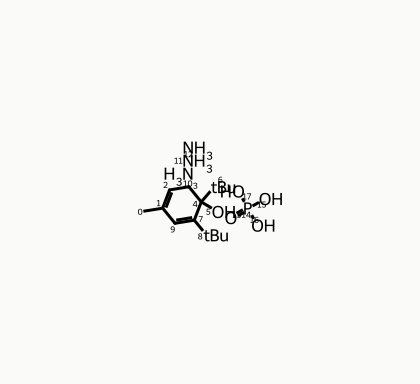 CC1=CCC(O)(C(C)(C)C)C(C(C)(C)C)=C1.N.N.N.O=P(O)(O)O